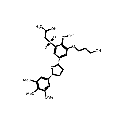 CCCOc1c(OCCCO)cc([C@@H]2CC[C@@H](c3cc(OC)c(OC)c(OC)c3)O2)cc1S(=O)(=O)C[C@@H](C)O